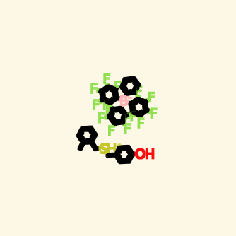 Cc1ccccc1C[SH+]Cc1ccc(O)cc1.Fc1c(F)c(F)c([B-](c2ccccc2)(c2c(F)c(F)c(F)c(F)c2F)c2c(F)c(F)c(F)c(F)c2F)c(F)c1F